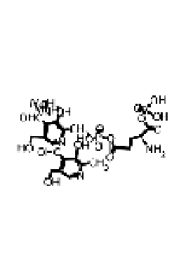 Cc1ncc(CO)c(C=O)c1O.Cc1ncc(CO)c(C=O)c1O.N[C@@H](CCC(=O)OP(=O)(O)O)C(=O)OP(=O)(O)O.[MgH2].[MgH2]